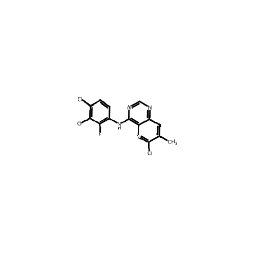 Cc1cc2ncnc(Nc3ccc(Cl)c(Cl)c3F)c2nc1Cl